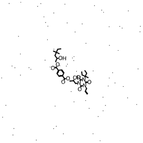 C=CCn1c(=O)n(CC(O)COC(=O)c2ccc(C(=O)OCC(O)CC(C)(C)CC)cc2)c(=O)n(C(C)(CC)CC)c1=O